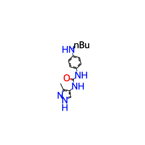 CCCCNc1ccc(NC(=O)Nc2c[nH]nc2C)cc1